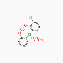 Clc1ccccc1[O][Co][O]c1ccccc1Cl.O.O